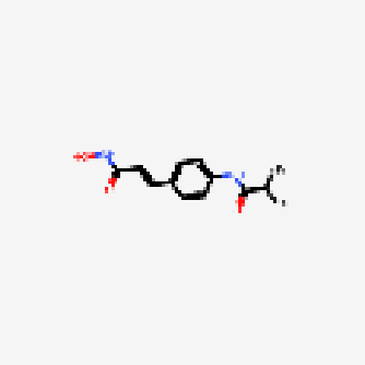 CCCC(CCC)C(=O)Nc1ccc(/C=C/C(=O)NO)cc1